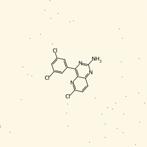 Nc1nc(-c2cc(Cl)cc(Cl)c2)c2nc(Cl)ccc2n1